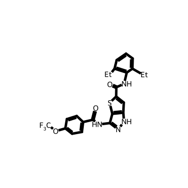 CCc1cccc(CC)c1NC(=O)c1cc2[nH]nc(NC(=O)c3ccc(OC(F)(F)F)cc3)c2s1